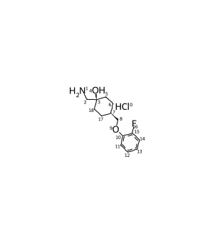 Cl.NC[C@]1(O)CC[C@@H](COc2ccccc2F)CC1